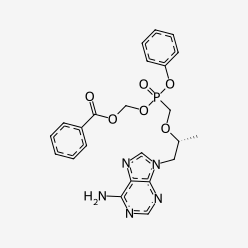 C[C@H](Cn1cnc2c(N)ncnc21)OCP(=O)(OCOC(=O)c1ccccc1)Oc1ccccc1